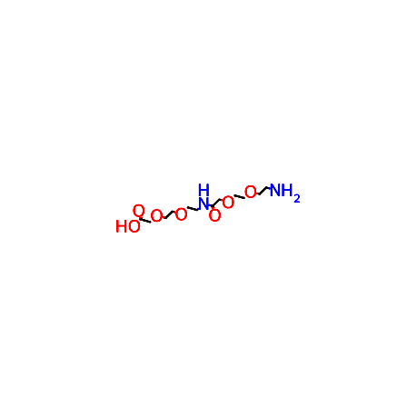 NCCOCCOCC(=O)NCCOCCOCC(=O)O